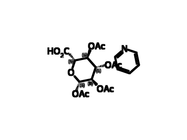 CC(=O)O[C@@H]1O[C@H](C(=O)O)[C@@H](OC(C)=O)[C@H](OC(C)=O)[C@H]1OC(C)=O.c1ccncc1